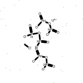 CCl.O=[PH]([O-])O[PH](=O)[O-].O=[PH]([O-])O[PH](=O)[O-].O=[PH]([O-])O[PH](=O)[O-].[U+6]